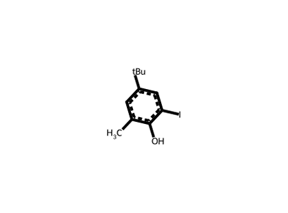 Cc1cc(C(C)(C)C)cc(I)c1O